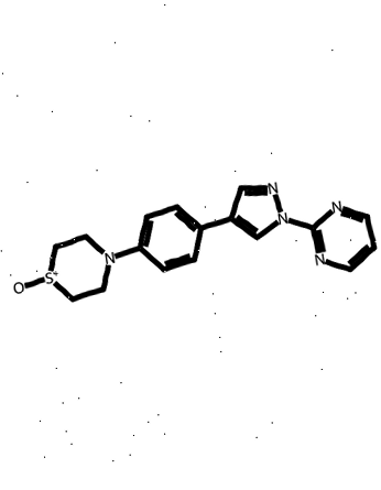 [O-][S+]1CCN(c2ccc(-c3cnn(-c4ncccn4)c3)cc2)CC1